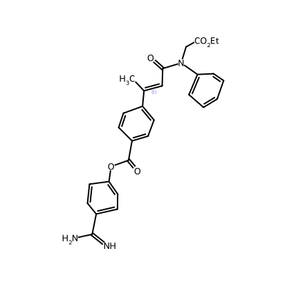 CCOC(=O)CN(C(=O)/C=C(\C)c1ccc(C(=O)Oc2ccc(C(=N)N)cc2)cc1)c1ccccc1